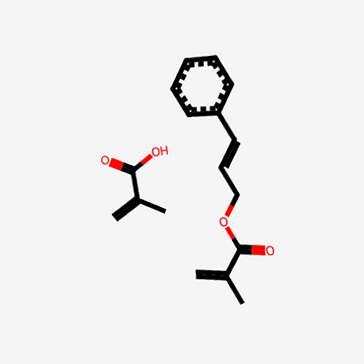 C=C(C)C(=O)O.C=C(C)C(=O)OCC=Cc1ccccc1